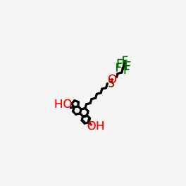 CC12CCC3c4ccc(O)cc4CC(CCCCCCCCCSOCCCC(F)(F)C(F)(F)F)C3C1CCC2O